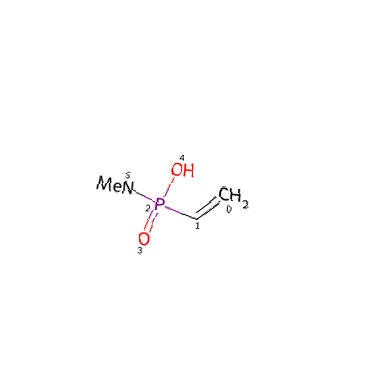 C=CP(=O)(O)NC